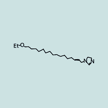 CCOCCCCCCCCCCCCCCC=CCN1C=NCC1